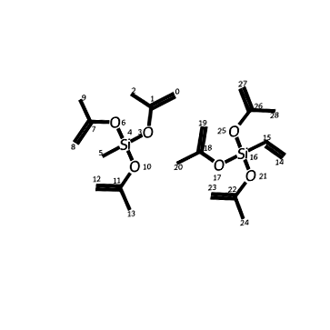 C=C(C)O[Si](C)(OC(=C)C)OC(=C)C.C=C[Si](OC(=C)C)(OC(=C)C)OC(=C)C